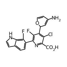 NC1=CC(c2c(F)c(-c3ccc4cc[nH]c4c3F)nc(C(=O)O)c2Cl)OC=C1